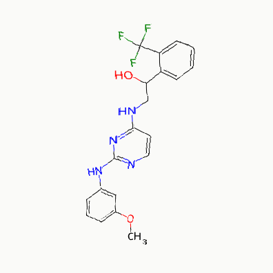 COc1cccc(Nc2nccc(NCC(O)c3ccccc3C(F)(F)F)n2)c1